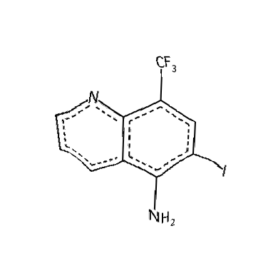 Nc1c(I)cc(C(F)(F)F)c2ncccc12